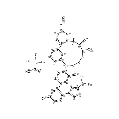 C[C@@H]1CCC[C@H](n2cnc(-c3cc(Cl)ccc3-n3cc(C(F)F)nn3)cc2=O)c2cc(ccn2)-c2ccc(C#N)cc2NC1=O.O=C(O)C(F)(F)F